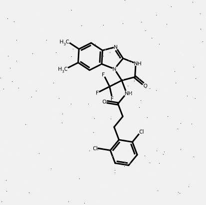 Cc1cc2nc3n(c2cc1C)C(NC(=O)CCc1c(Cl)cccc1Cl)(C(F)(F)F)C(=O)N3